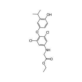 CCOC(=O)CNc1cc(Cl)c(Oc2ccc(O)c(C(C)C)c2)c(Cl)c1